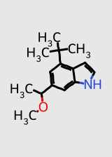 COC(C)c1cc(C(C)(C)C)c2cc[nH]c2c1